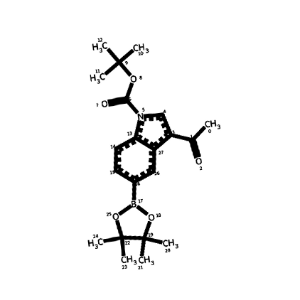 CC(=O)c1cn(C(=O)OC(C)(C)C)c2ccc(B3OC(C)(C)C(C)(C)O3)cc12